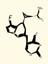 CC(C)[C@H]1C[C@@H]1c1cc(-c2c[nH]c(=O)[nH]c2=O)nn2ccc(F)c12